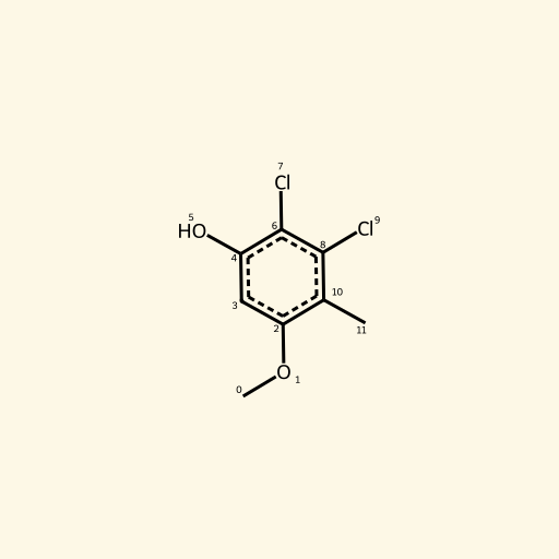 COc1cc(O)c(Cl)c(Cl)c1C